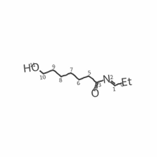 CCC=NC(=O)CCCCCCO